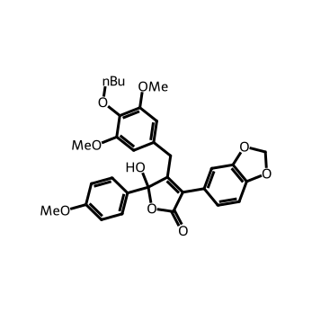 CCCCOc1c(OC)cc(CC2=C(c3ccc4c(c3)OCO4)C(=O)OC2(O)c2ccc(OC)cc2)cc1OC